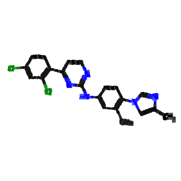 COc1cc(Nc2nccc(-c3ccc(Cl)cc3Cl)n2)ccc1-n1cnc(C)c1